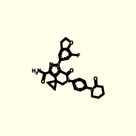 NC(=O)c1nn(-c2cc(F)c3c(c2)CCO3)c2c1C1(CC1)CN(c1ccc(N3CCCCC3=O)cc1)C2=O